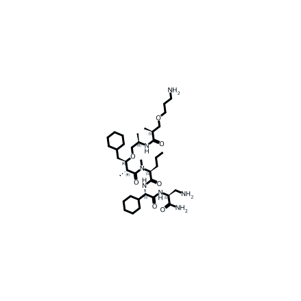 CCC[C@@H](C(=O)N[C@H](C(=O)N[C@@H](CN)C(N)=O)C1CCCCC1)N(C)C(=O)[C@H](C)[C@@H](CC1CCCCC1)OC[C@@H](C)NC(=O)[C@@H](C)COCCCN